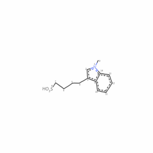 Cn1cc(CCCCS(=O)(=O)O)c2ccccc21